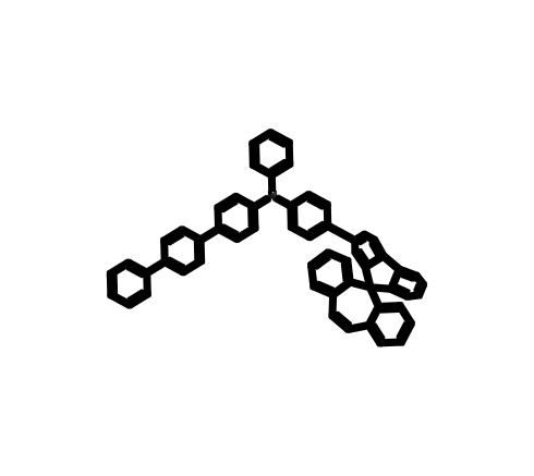 C1=Cc2ccccc2C2(c3ccccc31)c1ccccc1-c1ccc(-c3ccc(N(c4ccccc4)c4ccc(-c5ccc(-c6ccccc6)cc5)cc4)cc3)cc12